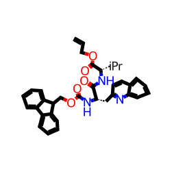 C=CCOC(=O)[C@@H](NC(=O)[C@H](Cc1ccc2ccccc2n1)NC(=O)OCC1c2ccccc2-c2ccccc21)C(C)C